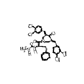 BBC(=O)NC(Cc1ccccc1)C(=O)N1C/C(=C\c2ccc(Cl)c(Cl)c2)C(=O)/C(=C/c2ccc(Cl)c(Cl)c2)C1